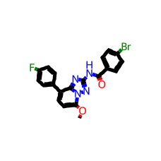 COc1ccc(-c2ccc(F)cc2)c2nc(NC(=O)c3ccc(Br)cc3)nn12